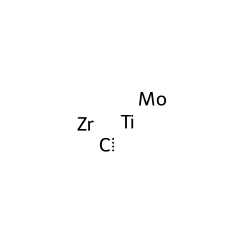 [C].[Mo].[Ti].[Zr]